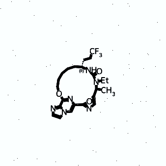 CCN1C(=O)N[C@@H](CCC(F)(F)F)CCCCCOc2nc(cn3ccnc23)-c2ncc(o2)C1C